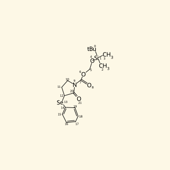 CC(C)(C)[Si](C)(C)OCOC(=O)N1CCC([Se]c2ccccc2)C1=O